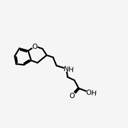 O=C(O)CCNCCC1COc2ccccc2C1